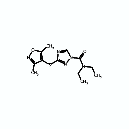 CCN(CC)C(=O)n1cnc(Sc2c(C)noc2C)n1